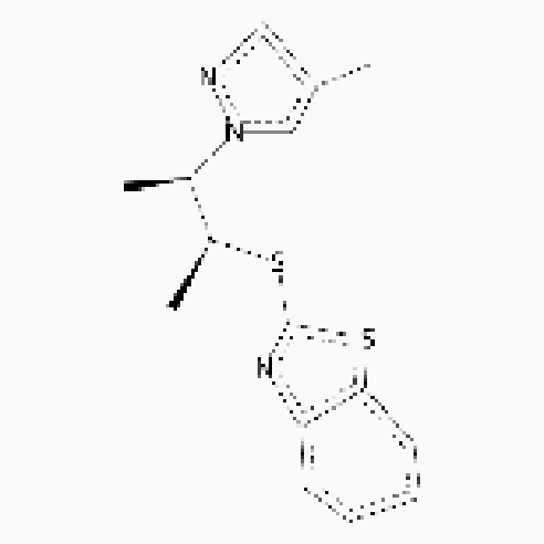 Cc1cnn([C@H](C)[C@H](C)Sc2nc3ccccc3s2)c1